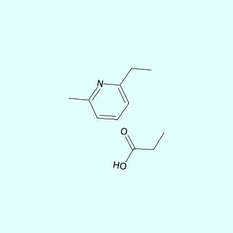 CCC(=O)O.CCc1cccc(C)n1